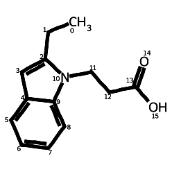 CCc1cc2ccccc2n1CCC(=O)O